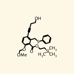 COCOc1ccc(C#CCCO)c(CSc2ccccc2)c1C(=O)OCC[Si](C)(C)C